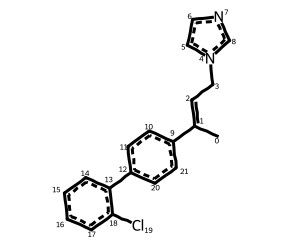 CC(=CCn1ccnc1)c1ccc(-c2ccccc2Cl)cc1